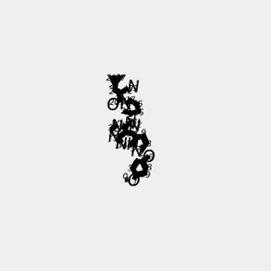 COc1ccc(Oc2ccc(-c3nn([C@@H]4CCCN(C(=O)C(C#N)=CC5CC5)C4)c4ncnc(N)c34)cn2)cc1